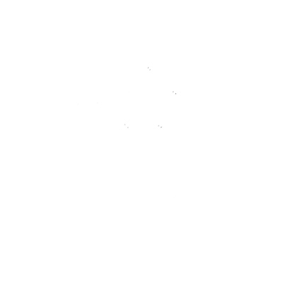 CC(CO)c1ncnc2c1ncn2Cc1ccccc1